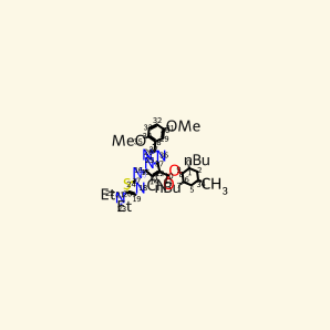 CCCCC1CC(C)CC(CCCC)C1OC(=O)C1=C(C#N)/C(=N\c2ncc(N(CC)CC)s2)n2nc(-c3cc(OC)ccc3OC)nc21